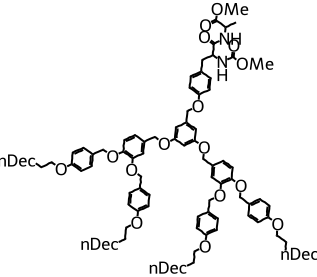 CCCCCCCCCCCCOc1ccc(COc2ccc(COc3cc(COc4ccc(CC(NC(=O)OC)C(=O)NC(C)C(=O)OC)cc4)cc(OCc4ccc(OCc5ccc(OCCCCCCCCCCCC)cc5)c(OCc5ccc(OCCCCCCCCCCCC)cc5)c4)c3)cc2OCc2ccc(OCCCCCCCCCCCC)cc2)cc1